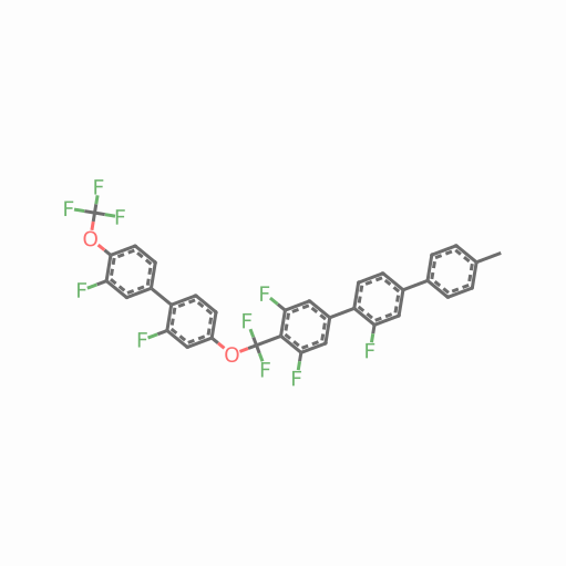 Cc1ccc(-c2ccc(-c3cc(F)c(C(F)(F)Oc4ccc(-c5ccc(OC(F)(F)F)c(F)c5)c(F)c4)c(F)c3)c(F)c2)cc1